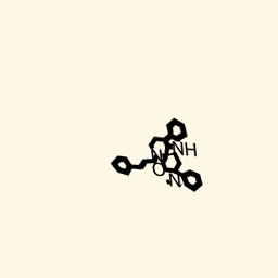 CN(C)[C@]1(c2ccccc2)CC[C@]2(CC1)c1[nH]c3ccccc3c1CCN2C(=O)/C=C/c1ccccc1